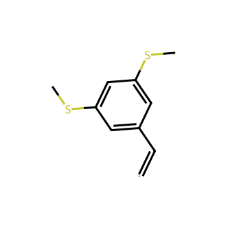 [CH]=Cc1cc(SC)cc(SC)c1